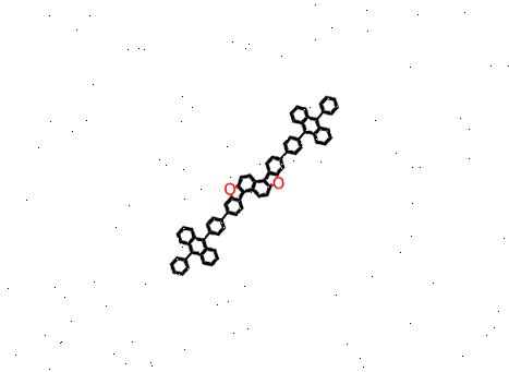 c1ccc(-c2c3ccccc3c(-c3ccc(-c4ccc5c(c4)oc4ccc6c(ccc7oc8cc(-c9ccc(-c%10c%11ccccc%11c(-c%11ccccc%11)c%11ccccc%10%11)cc9)ccc8c76)c45)cc3)c3ccccc23)cc1